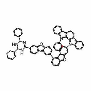 C1=CCCC(C2NC(c3ccc4c(c3)oc3ccc(-c5cccc6oc7cc(-n8c9ccccc9c9ccc%10c%11ccccc%11n(-c%11ccccc%11)c%10c98)ccc7c56)cc34)=NC(c3ccccc3)N2)=C1